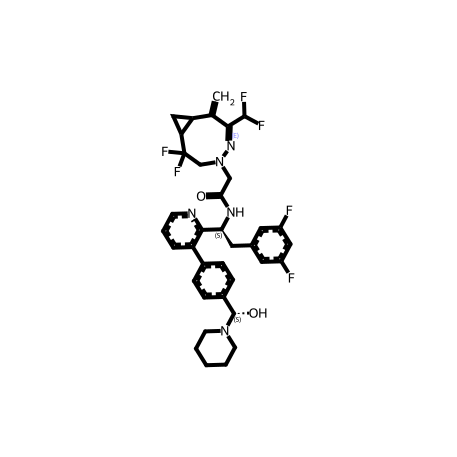 C=C1/C(C(F)F)=N\N(CC(=O)N[C@@H](Cc2cc(F)cc(F)c2)c2ncccc2-c2ccc([C@H](O)N3CCCCC3)cc2)CC(F)(F)C2CC12